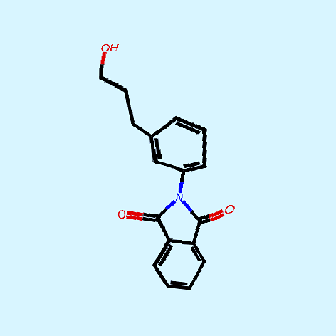 O=C1c2ccccc2C(=O)N1c1cccc(CCCO)c1